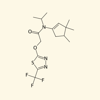 CC(C)N(C(=O)COc1nnc(C(F)(F)F)s1)C1=CC(C)(C)C(C)C1